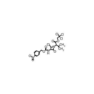 C=C(C)C(C(=O)OCC(Cl)(Cl)Cl)N1C(=O)C(NC(=O)OCc2ccc([N+](=O)[O-])cc2)C1Cl